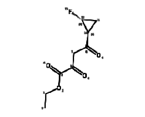 CCOC(=O)C(=O)CC(=O)[C@@H]1C[C@H]1F